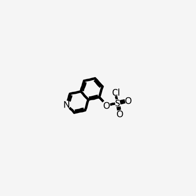 O=S(=O)(Cl)Oc1cccc2cnccc12